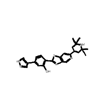 CC1(C)C=C(c2cc3sc(-c4ccc(-c5cn[nH]c5)cc4O)nc3cn2)CC(C)(C)N1